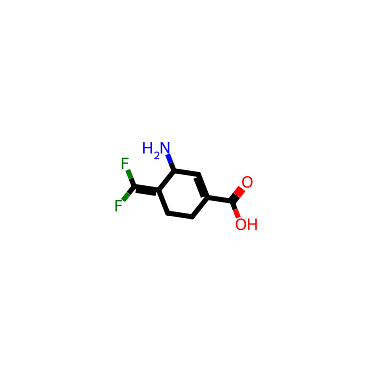 NC1C=C(C(=O)O)CCC1=C(F)F